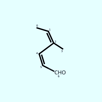 C/C=C(C)\C=C/C=O